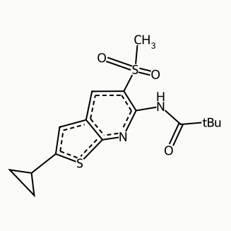 CC(C)(C)C(=O)Nc1nc2sc(C3CC3)cc2cc1S(C)(=O)=O